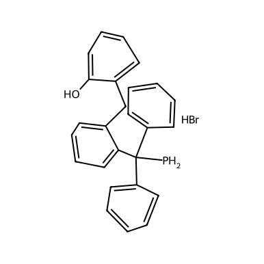 Br.Oc1ccccc1Cc1ccccc1C(P)(c1ccccc1)c1ccccc1